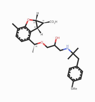 CSc1ccc(CC(C)(C)NCC(O)CO[C@H](C)c2ccc(C)c3c2[C@@H]2[C@H](O3)[C@H]2C(=O)O)cc1